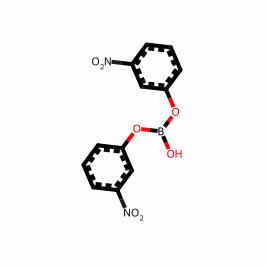 O=[N+]([O-])c1cccc(OB(O)Oc2cccc([N+](=O)[O-])c2)c1